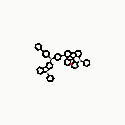 c1ccc(-c2ccc(N(c3ccc(-c4ccc5c(c4)C4(c6ccccc6)c6ccccc6N(c6ccccc6)c6cccc-5c64)cc3)c3ccc4c(c3)c3ccccc3n4-c3ccccc3)cc2)cc1